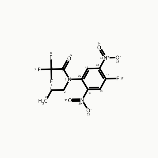 CCCN(C(=O)C(F)(F)F)c1cc([N+](=O)[O-])c(F)cc1[N+](=O)[O-]